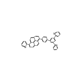 c1ccc(-c2cc(-c3ccc(-c4ccc5ccc6c(-c7ccccn7)ccc7ccc4c5c76)cc3)cc(-c3ccccn3)c2)nc1